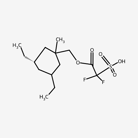 CCC1C[C@H](CC)CC(C)(COC(=O)C(F)(F)S(=O)(=O)O)C1